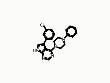 Clc1cccc(-c2c[nH]c3ncnc(N4CCN(c5ccccc5)CC4)c23)c1